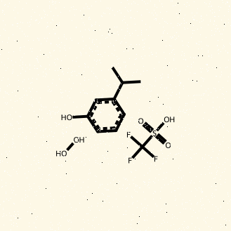 CC(C)c1cccc(O)c1.O=S(=O)(O)C(F)(F)F.OO